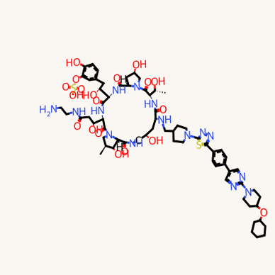 C[C@@H](O)[C@@H]1NC(=O)[C@@H](NCC2CCN(c3nnc(-c4ccc(-c5cnc(N6CCC(OC7CCCCC7)CC6)nc5)cc4)s3)CC2)C[C@@H](O)CNC(=O)[C@@H]2[C@@H](O)[C@@H](C)CN2C(=O)[C@H]([C@H](O)CC(=O)NCCN)NC(=O)[C@H]([C@H](O)Cc2ccc(O)c(OS(=O)(=O)O)c2)NC(=O)[C@@H]2C[C@@H](O)CN2C1=O